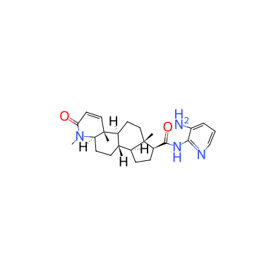 CN1C(=O)C=C[C@]2(C)[C@H]3CC[C@]4(C)[C@@H](C(=O)Nc5ncccc5N)CC[C@H]4[C@@H]3CC[C@@H]12